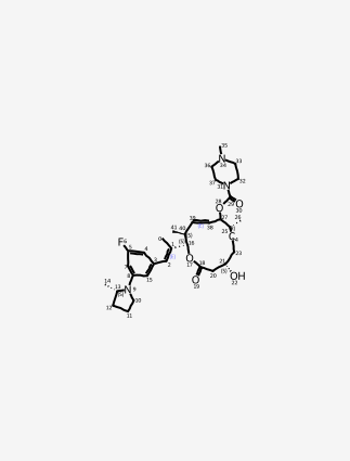 C/C(=C\c1cc(F)cc(N2CCC[C@@H]2C)c1)[C@H]1OC(=O)C[C@@H](O)CC[C@@H](C)C(OC(=O)N2CCN(C)CC2)/C=C/[C@@H]1C